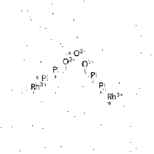 [O-2].[O-2].[O-2].[P].[P].[P].[P].[Rh+3].[Rh+3]